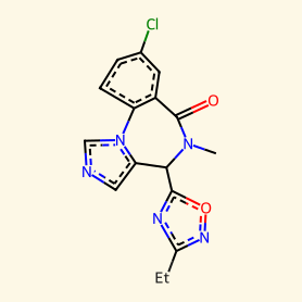 CCc1noc(C2c3cncn3-c3ccc(Cl)cc3C(=O)N2C)n1